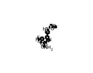 C[C@@H](Oc1cc(-n2cnc3cc(C4=CCC(NCCN(C)C(=O)OC(C)(C)C)N=C4)ccc32)sc1C(N)=O)c1ccccc1C(F)(F)F